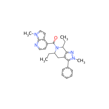 CCC1Cc2c(nn(C)c2-c2ccccc2)C(CC)N1C(=O)c1ccnc2c1ccn2C